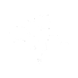 CCCCc1cccc2cc3ccccc3c(-c3ccc(Br)s3)c12